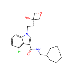 O=C(NCC1CCCCCC1)c1cn(CCC2(O)COC2)c2cccc(Cl)c12